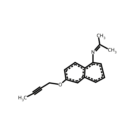 CC#CCOc1ccc2c(N=C(C)C)cccc2c1